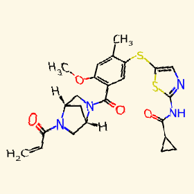 C=CC(=O)N1C[C@@H]2C[C@H]1CN2C(=O)c1cc(Sc2cnc(NC(=O)C3CC3)s2)c(C)cc1OC